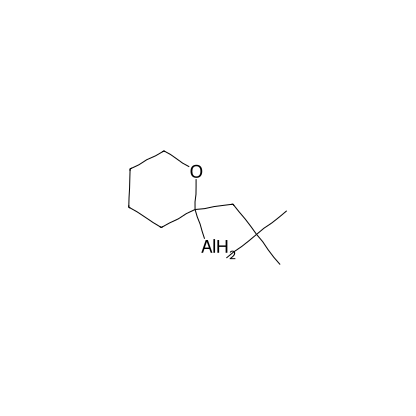 CC(C)(C)C[C]1([AlH2])CCCCO1